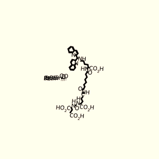 O=C(O)CCC(NC(=O)NC(CCCCNC(=O)CCCCCCC(=O)NC(CCCCNC(c1ccc2ccccc2n1)c1ccc2ccccc2n1)C(=O)O)C(=O)O)C(=O)O.[Br-].[Br-].[Br-].[Br-].[Br-].[Br-].[Br-].[C]=O.[C]=O.[C]=O.[Re+7]